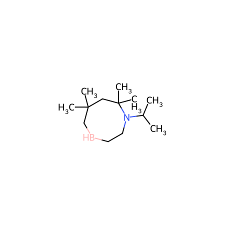 CC(C)N1CCBCC(C)(C)CC1(C)C